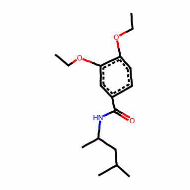 CCOc1ccc(C(=O)NC(C)CC(C)C)cc1OCC